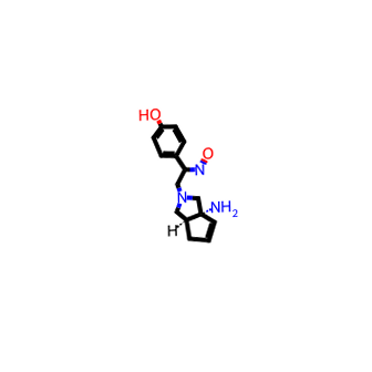 N[C@]12C=CC[C@H]1CN(CC(N=O)c1ccc(O)cc1)C2